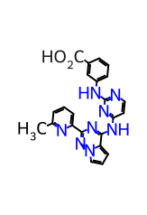 Cc1cccc(-c2nc(Nc3ccnc(Nc4cccc(C(=O)O)c4)n3)c3cccn3n2)n1